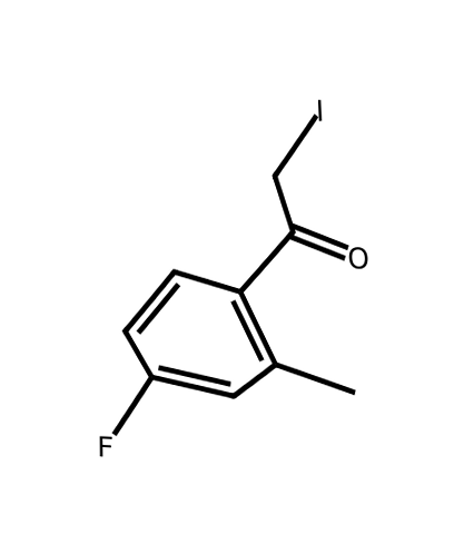 Cc1cc(F)ccc1C(=O)CI